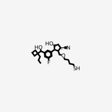 CCCC1(C(O)c2cc(F)cc(C3C(COCCCCS)[C@H](C#N)C[C@H]3O)c2)CCC1